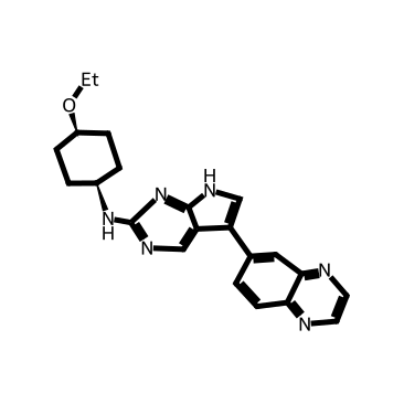 CCO[C@H]1CC[C@@H](Nc2ncc3c(-c4ccc5nccnc5c4)c[nH]c3n2)CC1